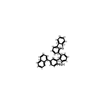 c1ccc2c(-c3ccc4[nH]c5cccc(-c6cccc7c6sc6ccccc67)c5c4c3)cccc2c1